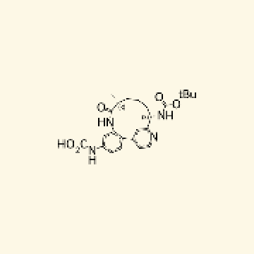 C[C@@H]1CCC[C@H](NC(=O)OC(C)(C)C)c2cc(ccn2)-c2ccc(NC(=O)O)cc2NC1=O